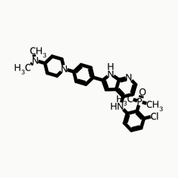 CN(C)C1CCN(c2ccc(-c3cc4c(Nc5cccc(Cl)c5P(C)(C)=O)ccnc4[nH]3)cc2)CC1